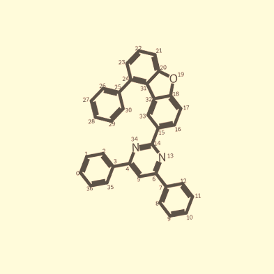 c1ccc(-c2cc(-c3ccccc3)nc(-c3ccc4oc5cccc(-c6ccccc6)c5c4c3)n2)cc1